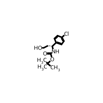 CC(C)(C)OC(=O)N[C@H](CCO)c1ccc(Cl)cc1